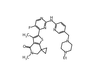 CCN1CCN(Cc2ccc(Nc3ncc(F)c(-c4sc5c(c4C)C(=O)N(C)CC54CC4)n3)nc2)CC1